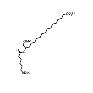 CCCCCCCCCCCCCCCC(=O)OC(CCCCCCCCCCCCCCC(=O)O)COC